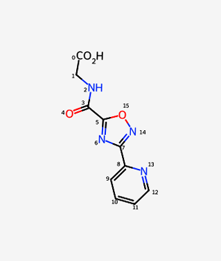 O=C(O)CNC(=O)c1nc(-c2ccccn2)no1